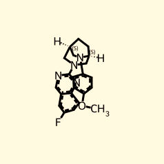 COc1ccc(N2C[C@@H]3CC[C@H]2CN(c2ncc4cc(F)ccc4n2)C3)cc1